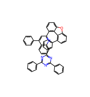 c1ccc(-c2nc(-c3ccccc3)nc(-c3cccc(-c4cccc5oc6cccc(-c7cc(-c8ccccc8)c8ccccc8n7)c6c45)c3)n2)cc1